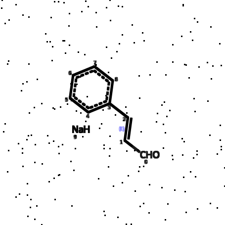 O=C/C=C/c1ccccc1.[NaH]